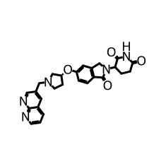 O=C1CCC(N2Cc3cc(O[C@H]4CCN(Cc5cnc6ncccc6c5)C4)ccc3C2=O)C(=O)N1